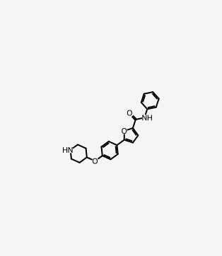 O=C(Nc1ccccc1)c1ccc(-c2ccc(OC3CCNCC3)cc2)o1